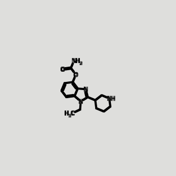 CCn1c(C2CCCNC2)nc2c(OC(N)=O)cccc21